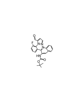 CC(C)(C)OC(=O)Nc1cc2ccccc2nc1-c1cccc(F)c1-n1nccc1C=O